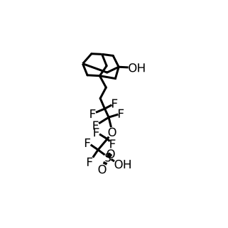 O=S(=O)(O)C(F)(F)C(F)(F)OC(F)(F)C(F)(F)CCC12CC3CC(CC(O)(C3)C1)C2